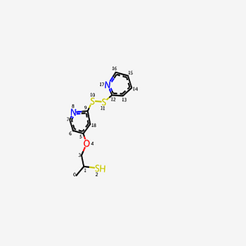 CC(S)COc1ccnc(SSc2ccccn2)c1